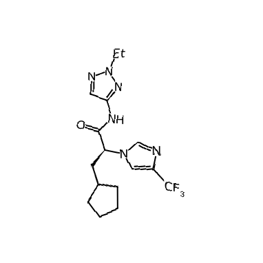 CCn1ncc(NC(=O)[C@H](CC2CCCC2)n2cnc(C(F)(F)F)c2)n1